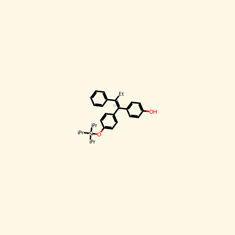 CC/C(=C(\c1ccc(O)cc1)c1ccc(O[Si](C(C)C)(C(C)C)C(C)C)cc1)c1ccccc1